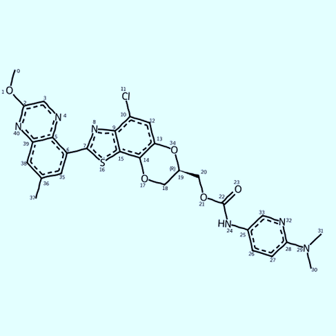 COc1cnc2c(-c3nc4c(Cl)cc5c(c4s3)OC[C@H](COC(=O)Nc3ccc(N(C)C)nc3)O5)cc(C)cc2n1